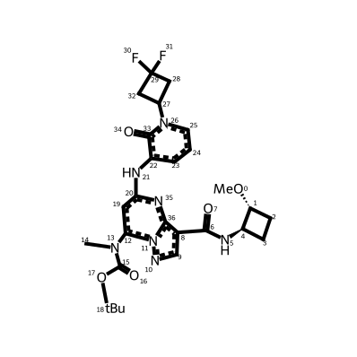 CO[C@@H]1CC[C@H]1NC(=O)c1cnn2c(N(C)C(=O)OC(C)(C)C)cc(Nc3cccn(C4CC(F)(F)C4)c3=O)nc12